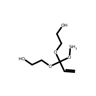 C=CC(O[SiH3])(OCCO)OCCO